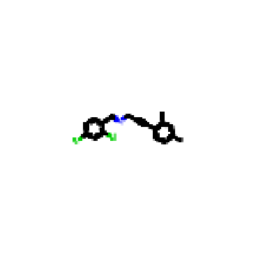 Cc1ccc(C#CCN=Cc2ccc(Cl)cc2Cl)c(C)c1